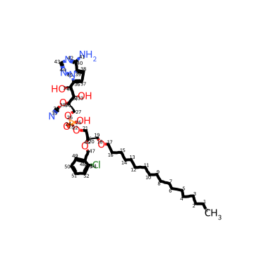 CCCCCCCCCCCCCCCCCCOC[C@H](COP(=O)(O)OC[C@@H](OC#N)[C@@H](O)[C@@H](O)c1ccc2c(N)ncnn12)OCc1ccccc1Cl